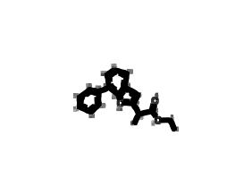 CCOC(=O)C(C)c1cc2cccc(-c3ccccc3)c2o1